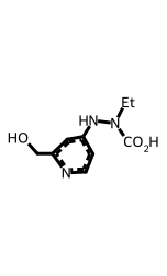 CCN(Nc1ccnc(CO)c1)C(=O)O